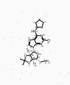 CC1(C)O[C@@H]2[C@H](O1)[C@@H](CN)O[C@H]2n1cnc2c(NC3CCCC3)nc(Cl)nc21